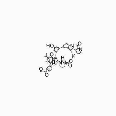 CO[C@@H](C)c1ncccc1-c1c2c3cc(ccc3n1C)-c1cc(O)cc(c1)C[C@H](NC(=O)[C@H](C(C)C)N(C)C(=O)[C@H]1CCN(C(=O)C3CO3)C1)C(=O)N1CCC[C@H](N1)C(=O)OCC(C)(C)C2